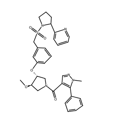 CO[C@@H]1CN(C(=O)c2cnn(C)c2-c2ccccc2)C[C@H]1Oc1cccc(CS(=O)(=O)N2CCCC2c2ccccn2)c1